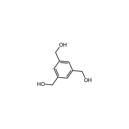 OCc1[c]c(CO)cc(CO)c1